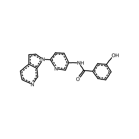 O=C(Nc1ccc(-n2ccc3ccncc32)nc1)c1cccc(O)c1